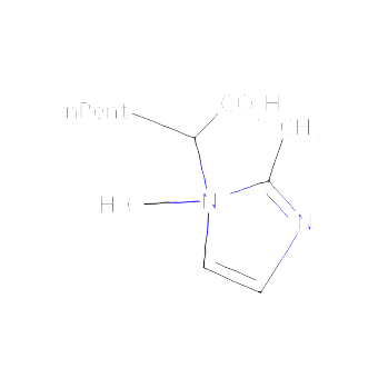 CCCCCC(C(=O)O)[N+]1(C)C=CN=C1C